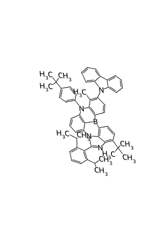 Cc1c(-n2c3ccccc3c3ccccc32)ccc2c1N(c1ccc(C(C)(C)C)cc1)c1cccc3c1B2c1ccc(C(C)(C)C)c2nc(-c4c(C(C)C)cccc4C(C)C)n-3c12